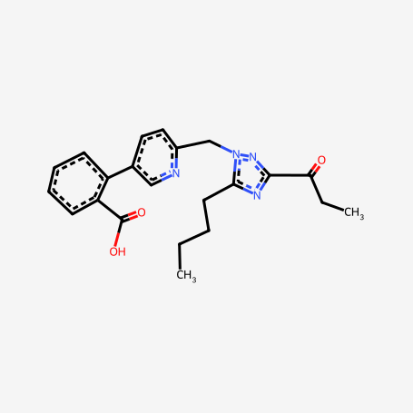 CCCCc1nc(C(=O)CC)nn1Cc1ccc(-c2ccccc2C(=O)O)cn1